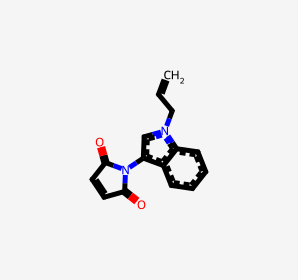 C=CCn1cc(N2C(=O)C=CC2=O)c2ccccc21